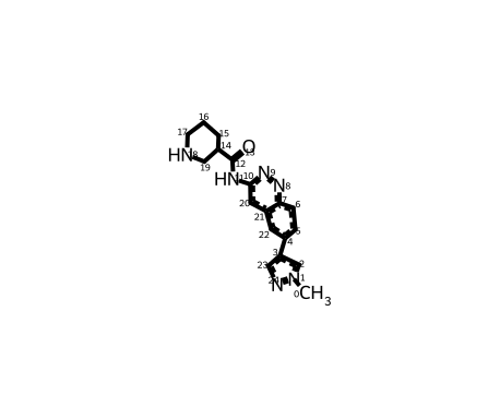 Cn1cc(-c2ccc3nnc(NC(=O)C4CCCNC4)cc3c2)cn1